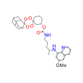 COc1cc(NC(C)CCCNC(=O)OC2CCCC3(C2)OOC2(OO3)C3CC4CC(C3)CC2C4)c2ncccc2c1